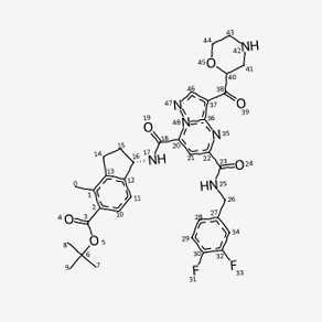 Cc1c(C(=O)OC(C)(C)C)ccc2c1CC[C@@H]2NC(=O)c1cc(C(=O)NCc2ccc(F)c(F)c2)nc2c(C(=O)C3CNCCO3)cnn12